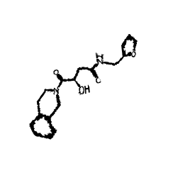 O=C(C[C@@H](O)C(=O)N1CCc2ccccc2C1)NCc1ccco1